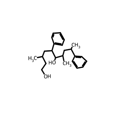 CC(CCO)CC(c1ccccc1)C(O)C(C)CC(C)c1ccccc1